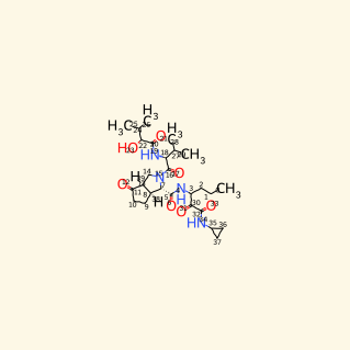 CCCC(NC(=O)[C@@H]1[C@H]2CCC(=O)[C@H]2CN1C(=O)[C@@H](NC(=O)C(O)C(C)C)C(C)C)C(=O)C(=O)NC1CC1